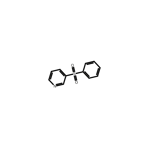 O=S(=O)(c1c[c]ccc1)c1cccnc1